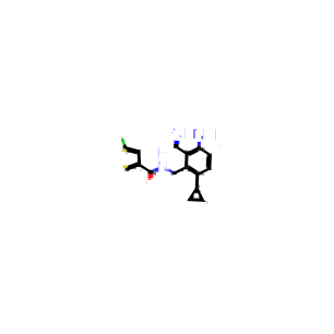 N=Cc1c(N)ccc(C2CC2)c1CNC(=O)c1csc(Cl)c1